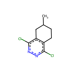 CC1CCc2c(Cl)nnc(Cl)c2C1